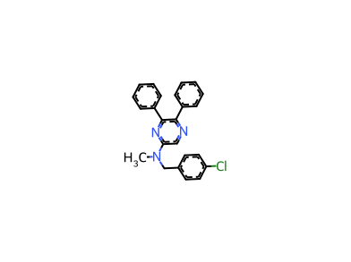 CN(Cc1ccc(Cl)cc1)c1cnc(-c2ccccc2)c(-c2ccccc2)n1